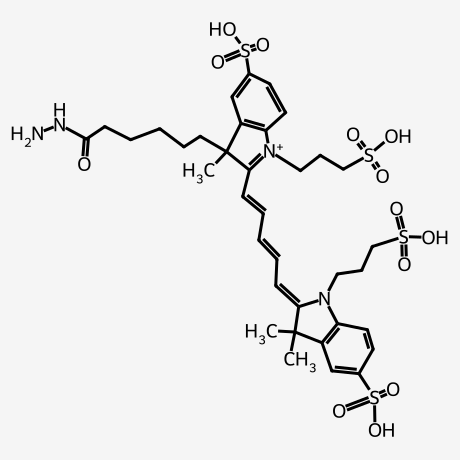 CC1(CCCCCC(=O)NN)C(/C=C/C=C/C=C2\N(CCCS(=O)(=O)O)c3ccc(S(=O)(=O)O)cc3C2(C)C)=[N+](CCCS(=O)(=O)O)c2ccc(S(=O)(=O)O)cc21